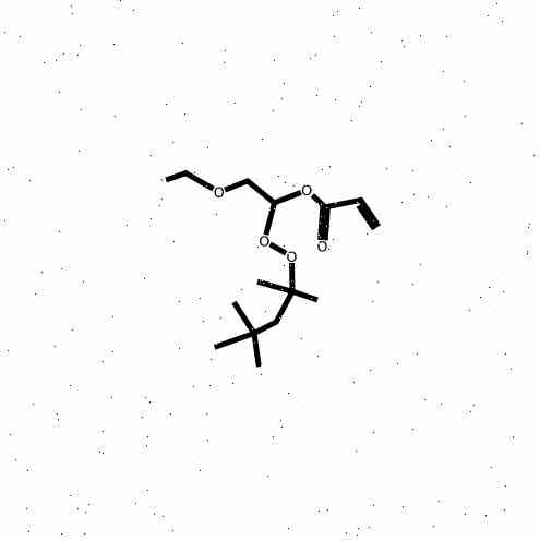 [CH2]COCC(OOC(C)(C)CC(C)(C)C)OC(=O)C=C